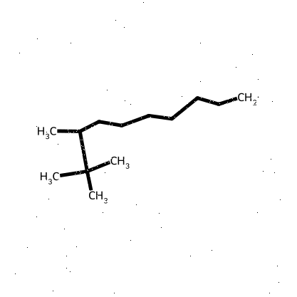 [CH2]CCCCCCC(C)C(C)(C)C